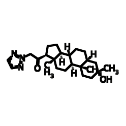 C[C@@]1(O)CC[C@@]2(C)[C@H](CC[C@@H]3[C@@H]2CC[C@]2(C)[C@@H](C(=O)Cn4nccn4)CC[C@@H]32)C1